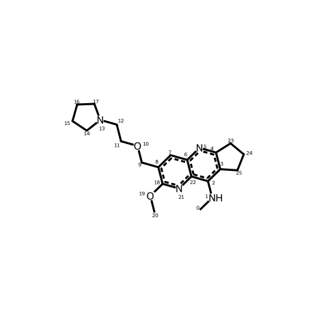 CNc1c2c(nc3cc(COCCN4CCCC4)c(OC)nc13)CCC2